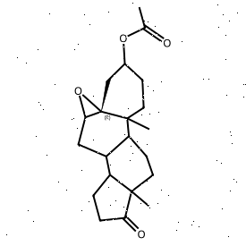 CC(=O)OC1CCC2(C)C3CCC4(C)C(=O)CCC4C3CC3O[C@@]32C1